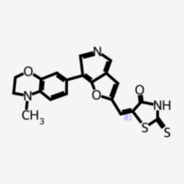 CN1CCOc2cc(-c3cncc4cc(/C=C5/SC(=S)NC5=O)oc34)ccc21